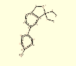 CCC1(CC)OCc2ccc(-c3ccc(O)cc3)cc21